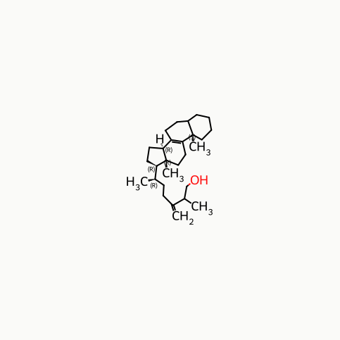 C=C(CC[C@@H](C)[C@H]1CC[C@H]2C3=C(CC[C@]12C)[C@@]1(C)CCCCC1CC3)C(C)CO